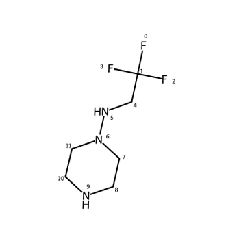 FC(F)(F)CNN1CCNCC1